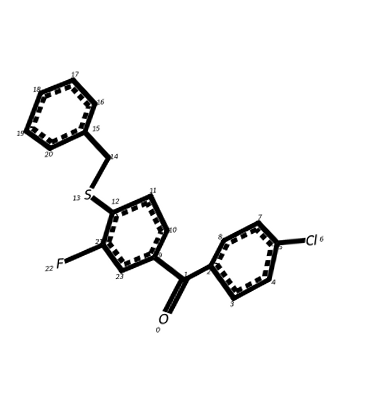 O=C(c1ccc(Cl)cc1)c1ccc(SCc2ccccc2)c(F)c1